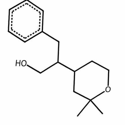 CC1(C)CC(C(CO)Cc2ccccc2)CCO1